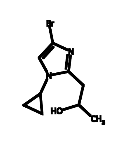 CC(O)Cc1nc(Br)cn1C1CC1